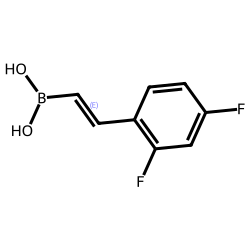 OB(O)/C=C/c1ccc(F)cc1F